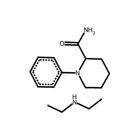 CCNCC.NC(=O)C1CCCCN1c1ccccc1